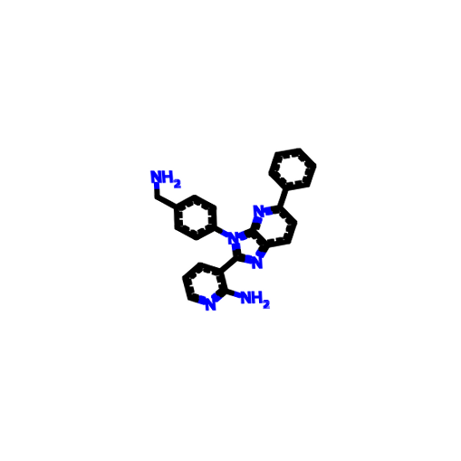 NCc1ccc(-n2c(-c3cccnc3N)nc3ccc(-c4ccccc4)nc32)cc1